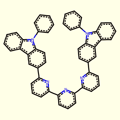 c1ccc(-n2c3ccccc3c3cc(-c4cccc(-c5cccc(-c6cccc(-c7ccc8c(c7)c7ccccc7n8-c7ccccc7)n6)n5)n4)ccc32)cc1